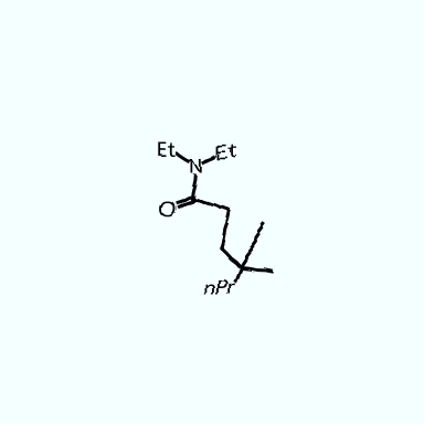 CCCC(C)(C)CCC(=O)N(CC)CC